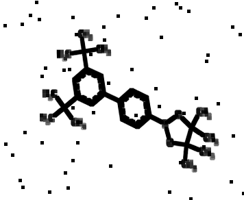 CC(C)(C)c1cc(-c2ccc(B3OC(C)(C)C(C)(C)O3)cc2)cc(C(C)(C)C)c1